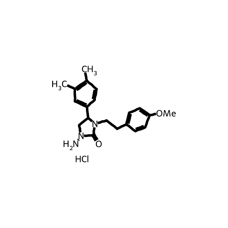 COc1ccc(CCN2C(=O)N(N)CC2c2ccc(C)c(C)c2)cc1.Cl